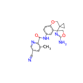 Cc1cc(C#N)cnc1C(=O)Nc1ccc2c(c1)C1(COC(N)=N1)C1(CC1)CO2